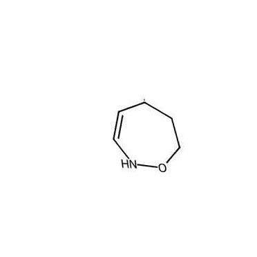 [CH]1C=CNOCC1